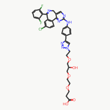 O=C(O)CCOCCOCC(O)COCCn1cc(-c2ccc(Nc3ncc4c(n3)-c3ccc(Cl)cc3C(c3c(F)cccc3F)=NC4)cc2)nn1